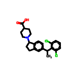 CC(c1ccc2c(c1)CCC2N1CCC(C(=O)O)CC1)c1c(Cl)cccc1Cl